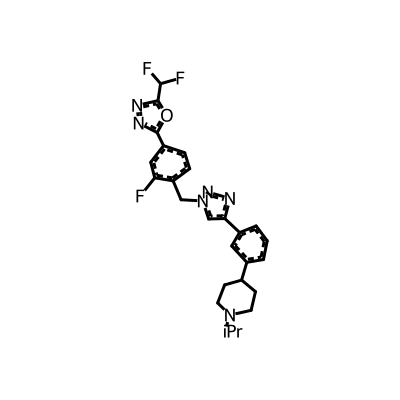 CC(C)N1CCC(c2cccc(-c3cn(Cc4ccc(-c5nnc(C(F)F)o5)cc4F)nn3)c2)CC1